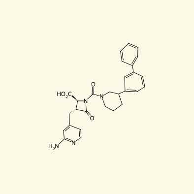 Nc1cc(C[C@H]2C(=O)N(C(=O)N3CCCC(c4cccc(-c5ccccc5)c4)C3)[C@@H]2C(=O)O)ccn1